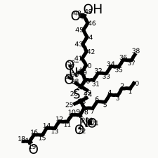 CCCCCCCCC(C(CCCCCCCC(C)=O)[N+](=O)[O-])C(C)(C)SC(C)(C)C(CCCCCCCC)C(CCCCCCCC(=O)O)[N+](=O)[O-]